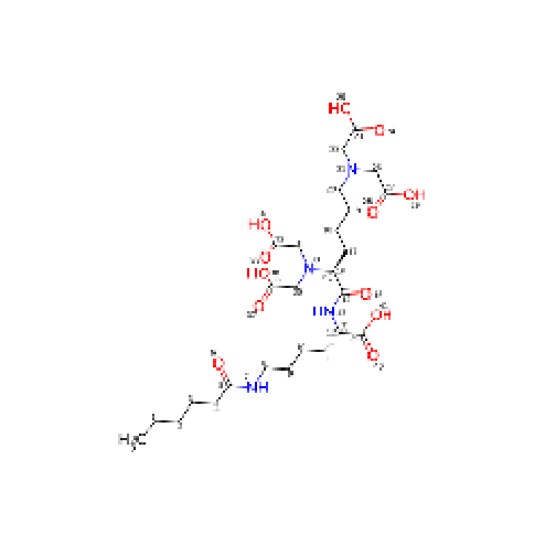 CCCCCC(=O)NCCCC[C@H](NC(=O)[C@H](CCCCN(CC(=O)O)CC(=O)O)N(CC(=O)O)CC(=O)O)C(=O)O